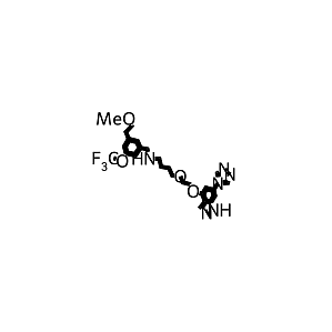 COCCc1cc(CNCCCCOCCOc2cc(-n3cnnc3)cc3[nH]ncc23)cc(OC(F)(F)F)c1